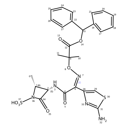 C[C@@H]1[C@H](NC(=O)/C(=N\OC(C)(C)C(=O)OC(c2ccccc2)c2ccccc2)c2csc(N)n2)C(=O)N1S(=O)(=O)O